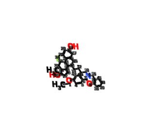 CCOc1ccc(C(=O)N(CCCC[C@@H]2Cc3cc(O)ccc3C3C2C2CC[C@H](O)[C@@]2(C)C[C@@H]3F)Cc2ccccc2)cc1